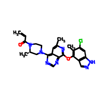 C=CC(=O)N1CCN(c2ncnc3c(Oc4c(C)c(Cl)cc5[nH]ncc45)nc(C)cc23)C[C@@H]1C